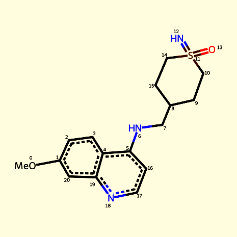 COc1ccc2c(NCC3CCS(=N)(=O)CC3)ccnc2c1